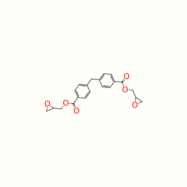 O=C(OCC1CO1)c1ccc(Cc2ccc(C(=O)OCC3CO3)cc2)cc1